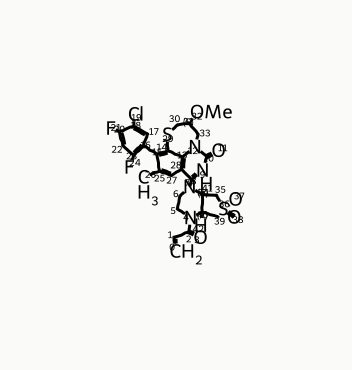 C=CC(=O)N1CCN(c2nc(=O)n3c4c(c(-c5cc(Cl)c(F)cc5F)c(C)cc24)SC[C@@H](OC)C3)[C@@H]2CS(=O)(=O)C[C@@H]21